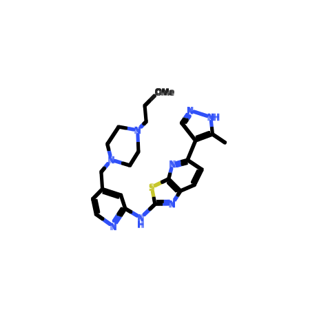 COCCN1CCN(Cc2ccnc(Nc3nc4ccc(-c5cn[nH]c5C)nc4s3)c2)CC1